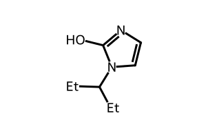 CCC(CC)n1ccnc1O